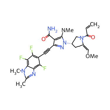 C=CC(=O)N1C[C@@H](n2nc(C#Cc3c(F)c(F)c4c(nc(C)n4C)c3F)c(C(N)=O)c2NC)C/C1=C\OC